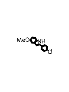 COc1ccc2[nH]c(-c3ccc(Cl)cc3)cc2c1